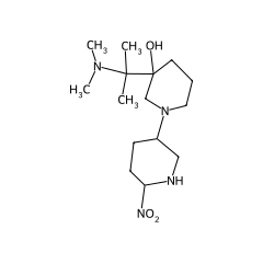 CN(C)C(C)(C)C1(O)CCCN(C2CCC([N+](=O)[O-])NC2)C1